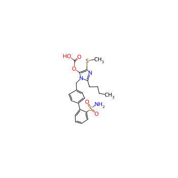 CCCCc1nc(SC)c(OC(=O)O)n1Cc1ccc(-c2ccccc2S(N)(=O)=O)cc1